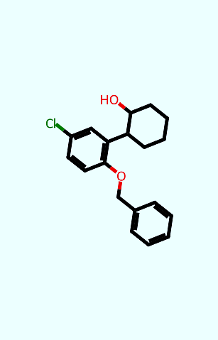 OC1CCCCC1c1cc(Cl)ccc1OCc1ccccc1